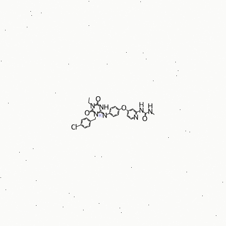 CCn1c(=O)[nH]/c(=N\c2ccc(Oc3ccnc(NC(=O)NC)c3)cc2)n(Cc2ccc(Cl)cc2)c1=O